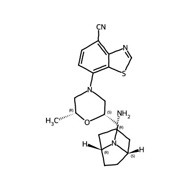 C[C@@H]1CN(c2ccc(C#N)c3ncsc23)C[C@H](CN2[C@@H]3CC[C@H]2C[C@@H](N)C3)O1